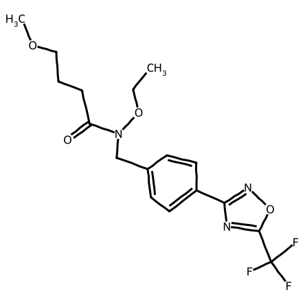 CCON(Cc1ccc(-c2noc(C(F)(F)F)n2)cc1)C(=O)CCCOC